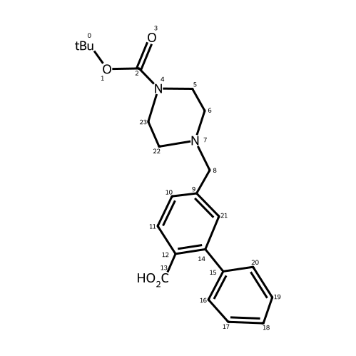 CC(C)(C)OC(=O)N1CCN(Cc2ccc(C(=O)O)c(-c3ccccc3)c2)CC1